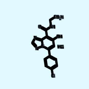 Cl.O=C(O)CNC(=O)c1c(O)cc(-c2ccc(Cl)cc2)n2ncnc12